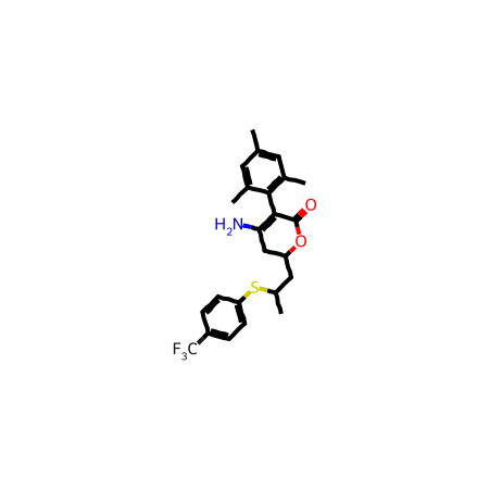 Cc1cc(C)c(C2=C(N)CC(CC(C)Sc3ccc(C(F)(F)F)cc3)OC2=O)c(C)c1